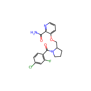 NC(=O)c1ncccc1OCC1CCCN1C(=O)c1ccc(Cl)cc1F